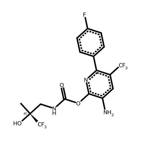 C[C@@](O)(CNC(=O)Oc1nc(-c2ccc(F)cc2)c(C(F)(F)F)cc1N)C(F)(F)F